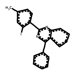 Cc1ccc(-c2nc(-c3ccccc3)c3ccccc3n2)c(I)c1